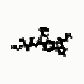 CC[C@H](C)[C@H](NC(=O)CNC(=O)[C@H](CCSC)NC(=O)[C@@H]1CCCN1C(=O)CN)C(=O)O